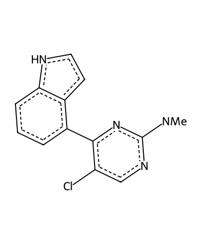 CNc1ncc(Cl)c(-c2cccc3[nH]ccc23)n1